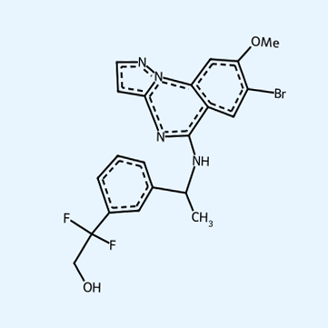 COc1cc2c(cc1Br)c(NC(C)c1cccc(C(F)(F)CO)c1)nc1ccnn12